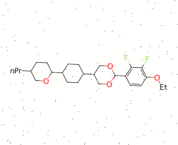 CCCC1CCC(C2CCC(C3COC(c4ccc(OCC)c(F)c4F)OC3)CC2)OC1